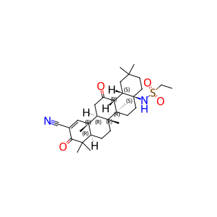 CCS(=O)(=O)N[C@]12CCC(C)(C)C[C@H]1[C@H]1C(=O)C[C@@H]3[C@@]4(C)C=C(C#N)C(=O)C(C)(C)[C@@H]4CC[C@@]3(C)[C@]1(C)CC2